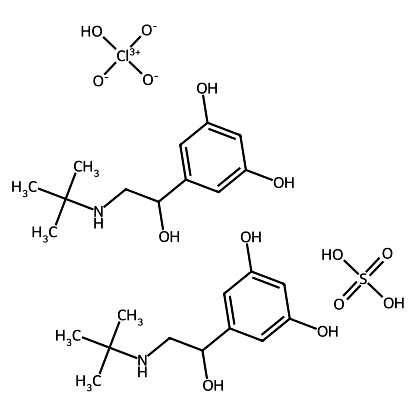 CC(C)(C)NCC(O)c1cc(O)cc(O)c1.CC(C)(C)NCC(O)c1cc(O)cc(O)c1.O=S(=O)(O)O.[O-][Cl+3]([O-])([O-])O